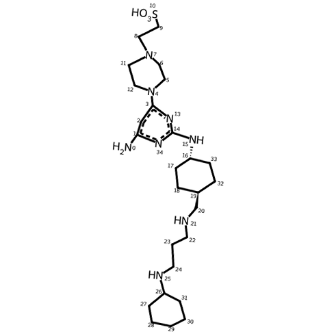 Nc1cc(N2CCN(CCS(=O)(=O)O)CC2)nc(N[C@H]2CC[C@H](CNCCCNC3CCCCC3)CC2)n1